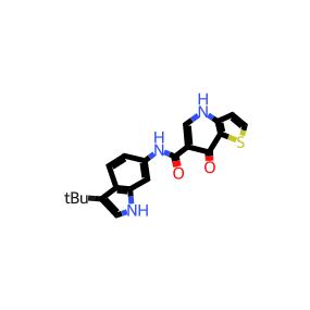 CC(C)(C)c1c[nH]c2cc(NC(=O)c3c[nH]c4ccsc4c3=O)ccc12